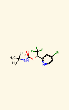 CC(C)(C)NC(=O)O[C@@H](c1cc(Br)ccn1)C(F)(F)F